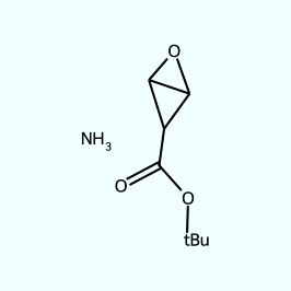 CC(C)(C)OC(=O)C1C2OC21.N